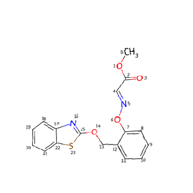 COC(=O)C=NOc1ccccc1COc1nc2ccccc2s1